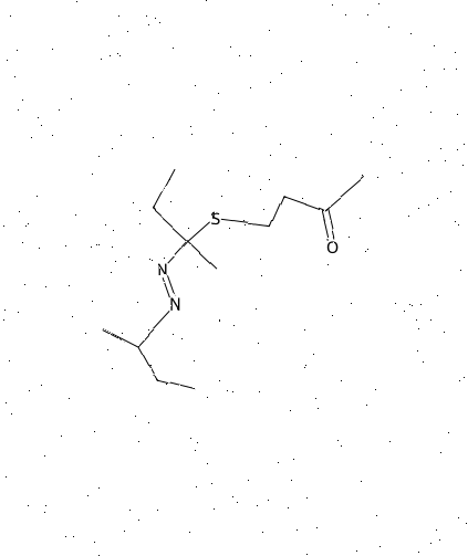 CCC(C)N=NC(C)(CC)SCCC(C)=O